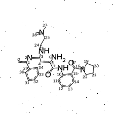 C=C(/N=C(\C=C(/N)C(=O)Nc1ccccc1C(=O)N1CCCC1)NCCN(C)C)c1ccccc1